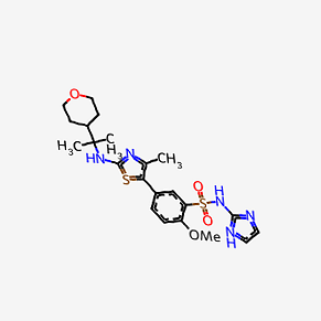 COc1ccc(-c2sc(NC(C)(C)C3CCOCC3)nc2C)cc1S(=O)(=O)Nc1ncc[nH]1